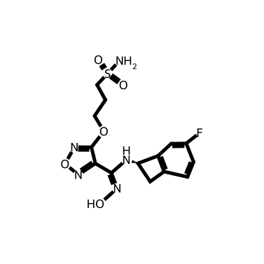 NS(=O)(=O)CCCOc1nonc1/C(=N\O)N[C@H]1Cc2ccc(F)cc21